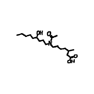 CCCCCC(O)CCCN(CCCCC(C)CC(=O)O)C(C)=O